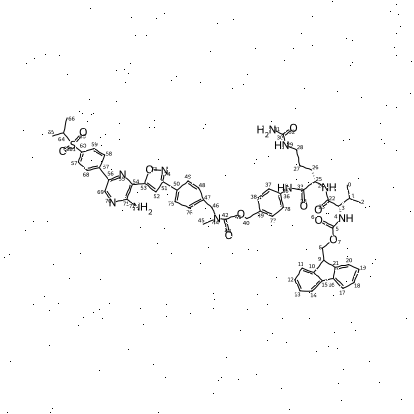 CC(C)[C@H](NC(=O)OCC1c2ccccc2-c2ccccc21)C(=O)N[C@@H](CCCNC(N)=O)C(=O)Nc1ccc(COC(=O)N(C)Cc2ccc(-c3cc(-c4nc(-c5ccc(S(=O)(=O)C(C)C)cc5)cnc4N)on3)cc2)cc1